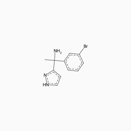 CC(N)(c1cccc(Br)c1)c1cc[nH]n1